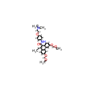 CC/C(=C(\C(=O)Nc1ccc(OCCN(C)C)cc1)c1ccc(OCOC)cc1)c1ccc(OCOC)cc1